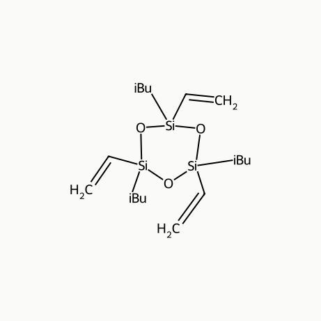 C=C[Si]1(C(C)CC)O[Si](C=C)(C(C)CC)O[Si](C=C)(C(C)CC)O1